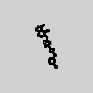 Cn1cnc2ncn(Cc3nc(C4CC(Oc5cccc(Cl)c5)C4)no3)c(=O)c21